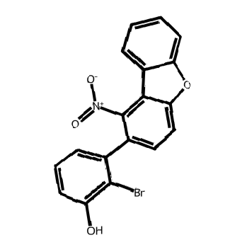 O=[N+]([O-])c1c(-c2cccc(O)c2Br)ccc2oc3ccccc3c12